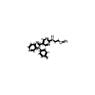 CC(C)OCCNc1ncc(-c2nc3ccncc3n2-c2ccc(F)cc2)cn1